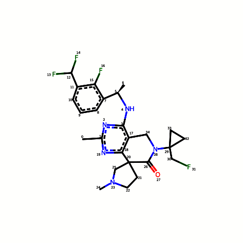 Cc1nc(N[C@H](C)c2cccc(C(F)F)c2F)c2c(n1)C1(CCN(C)C1)C(=O)N(C1(CF)CC1)C2